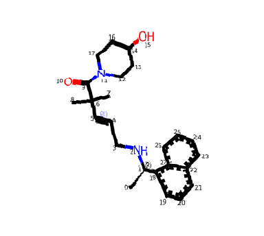 C[C@@H](NC/C=C/C(C)(C)C(=O)N1CCC(O)CC1)c1cccc2ccccc12